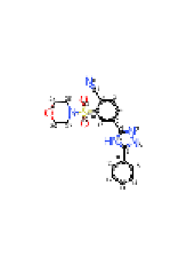 N#Cc1ccc(-c2nnc(-c3ccccc3)[nH]2)cc1S(=O)(=O)N1CCOCC1